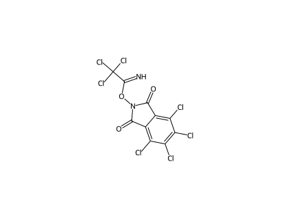 N=C(ON1C(=O)c2c(Cl)c(Cl)c(Cl)c(Cl)c2C1=O)C(Cl)(Cl)Cl